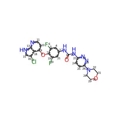 O=C(Nc1cc(F)c(Oc2ccnc3[nH]cc(Cl)c23)c(F)c1)Nc1ccc(N2CCOCC2)nn1